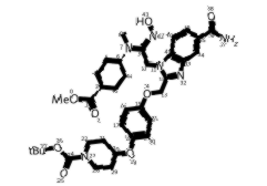 COC(=O)[C@H]1CC[C@H](N(C)C(Cn2c(COc3ccc(OC4CCN(C(=O)OC(C)(C)C)CC4)cc3)nc3cc(C(N)=O)ccc32)=NO)CC1